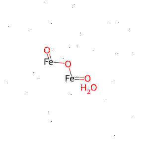 O.[O]=[Fe][O][Fe]=[O]